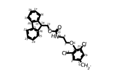 [CH2]c1cc(Cl)c(OCCNC(=O)OCC2c3ccccc3-c3ccccc32)c(Cl)c1